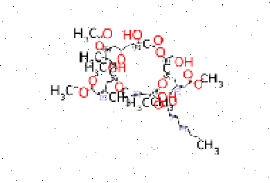 CCC/C=C/C=C/C(=O)OC/C(=C/C(=O)OC)C[C@H]1C[C@H](CO)OC(=O)C[C@H](O)CC2C[C@H](OC(C)=O)C(C)(C)[C@](O)(C[C@H](C/C(C)=C\C(=O)OCC)OC/C=C/C(C)(C)[C@H](O)O1)O2